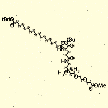 COC(=O)CCOCCOCC[N+](C)(C)CCNC(=O)CC[C@H](NC(=O)CCCCCCCCCCCCCCCCC(=O)OC(C)(C)C)C(=O)OC(C)(C)C